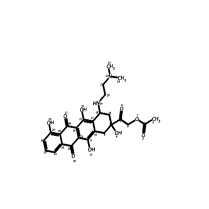 CC(=O)OCC(=O)C1(O)Cc2c(O)c3c(c(O)c2C(NCCN(C)C)C1)C(=O)c1c(O)cccc1C3=O